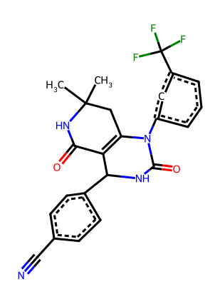 CC1(C)CC2=C(C(=O)N1)C(c1ccc(C#N)cc1)NC(=O)N2c1cccc(C(F)(F)F)c1